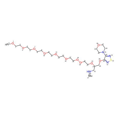 CCCOCCOCCOCCOCCOCCOCCOOCCOC(CNC(C)(C)C)COc1nsnc1N1CCOCC1